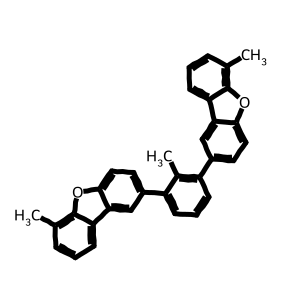 Cc1c(-c2ccc3oc4c(C)cccc4c3c2)cccc1-c1ccc2oc3c(C)cccc3c2c1